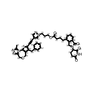 Cc1nnc2n1-c1sc(C#Cc3cnn(CCCOC(=O)CCCc4cccc5c4CN(C4CCC(=O)NC4=O)C5=O)c3)c(Cc3ccccc3)c1COC2